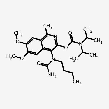 CCCCN(C(N)=O)c1c(OC(=O)N(C(C)C)C(C)C)nc(C)c2cc(OC)c(OC)cc12